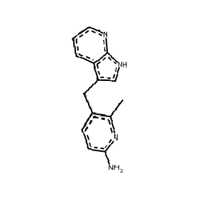 Cc1nc(N)ccc1Cc1c[nH]c2ncccc12